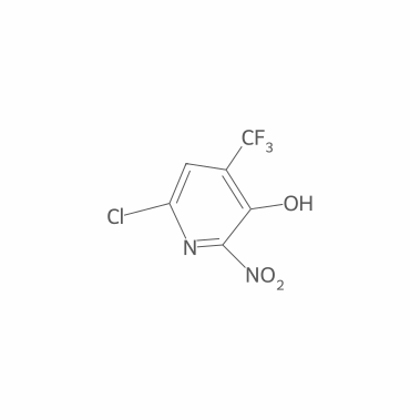 O=[N+]([O-])c1nc(Cl)cc(C(F)(F)F)c1O